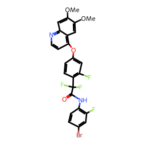 COc1cc2nccc(Oc3ccc(C(F)(F)C(=O)Nc4ccc(Br)cc4F)c(F)c3)c2cc1OC